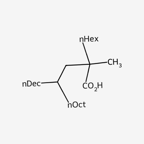 CCCCCCCCCCC(CCCCCCCC)CC(C)(CCCCCC)C(=O)O